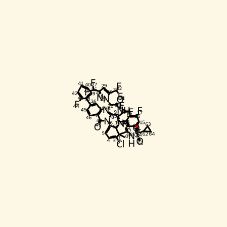 CC12C(Cl)=CC=C(n3c([C@H](Cc4cc(F)cc(F)c4)NC(=O)Cn4nc(C(F)F)cc4C(F)F)nc4cc(-c5ccccc5F)ccc4c3=O)C1N(CC(F)F)N=C2NS(=O)(=O)C1CC1